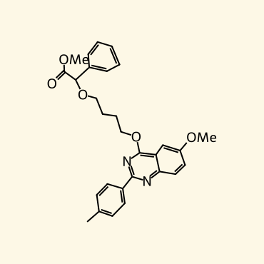 COC(=O)C(OCCCCOc1nc(-c2ccc(C)cc2)nc2ccc(OC)cc12)c1ccccc1